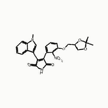 Cn1cc(C2=C(c3cccc(OCC4COC(C)(C)O4)c3[N+](=O)[O-])C(=O)NC2=O)c2ccccc21